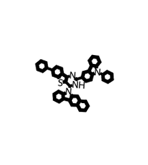 c1ccc(-c2ccc3c4c(sc3c2)C(n2c3ccccc3c3cc5ccccc5cc32)NC(c2ccc3c(c2)c2ccccc2n3-c2ccccc2)=N4)cc1